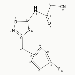 N#CCC(=O)Nc1nnc(Cc2ccc(F)cc2)s1